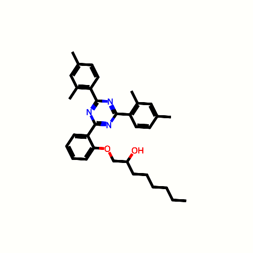 CCCCCCC(O)COc1ccccc1-c1nc(-c2ccc(C)cc2C)nc(-c2ccc(C)cc2C)n1